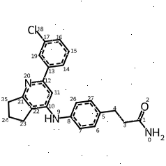 NC(=O)CCc1ccc(Nc2cc(-c3cccc(Cl)c3)nc3c2CCC3)cc1